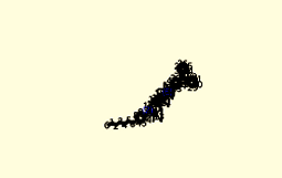 CCCCCCCc1ccc(/C(C#N)=C/c2cc3sc(/N=N/c4ccc(N(c5ccccc5)c5ccccc5)cc4)nc3s2)cc1